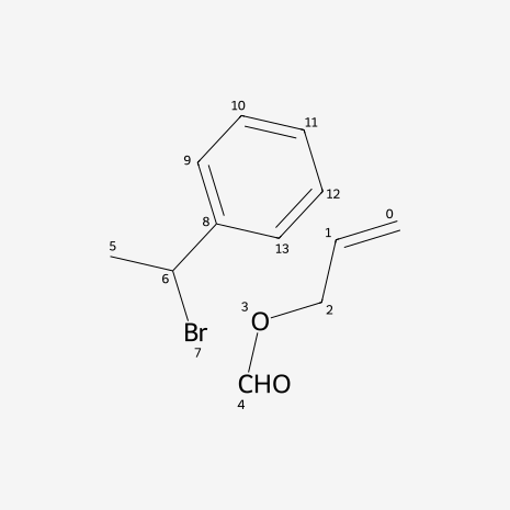 C=CCOC=O.CC(Br)c1ccccc1